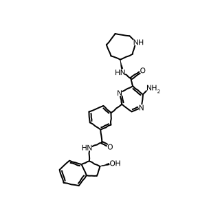 Nc1ncc(-c2cccc(C(=O)NC3c4ccccc4C[C@@H]3O)c2)nc1C(=O)N[C@H]1CCCCNC1